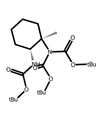 CC(C)(C)OC(=O)N[C@@H]1CCCC[C@@]1(C)N(C(=O)OC(C)(C)C)C(=O)OC(C)(C)C